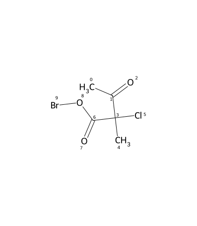 CC(=O)C(C)(Cl)C(=O)OBr